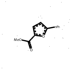 CCCc1ccc(C(=O)OC)o1